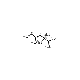 CCC(C(C)C)C(CC)(CC)CC(O)CO